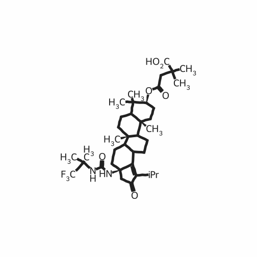 CC(C)C1=C2C3CCC4[C@@](C)(CCC5C(C)(C)[C@@H](OC(=O)CC(C)(C)C(=O)O)CC[C@@]54C)C3CC[C@@]2(NC(=O)NC(C)(C)C(F)(F)F)CC1=O